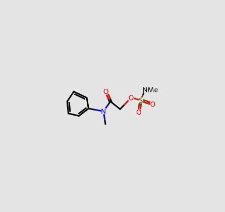 CNS(=O)(=O)OCC(=O)N(C)c1ccccc1